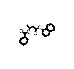 CC(CC(=O)Oc1cccc2ccccc12)OC(=O)c1ccccc1